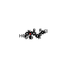 O=C(O)c1ccc2nc(Cc3ccc(-c4ccc(F)c(OCc5ccc(Cl)cc5F)c4)cc3F)n(CC3CCO3)c2c1